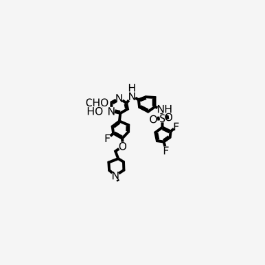 CN1CCC(COc2ccc(-c3cc(Nc4ccc(NS(=O)(=O)c5ccc(F)cc5F)cc4)ncn3)cc2F)CC1.O=CO